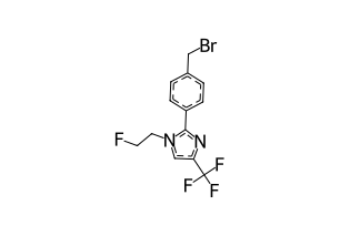 FCCn1cc(C(F)(F)F)nc1-c1ccc(CBr)cc1